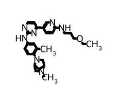 CCOCCCNc1ccc(-c2ccnc(Nc3ccc(N4CC5CC4CN5C)c(C)c3)n2)cn1